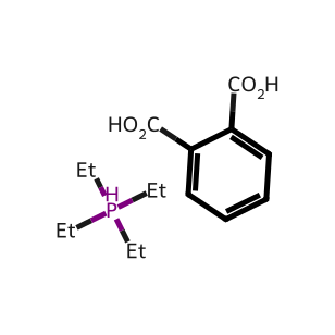 CC[PH](CC)(CC)CC.O=C(O)c1ccccc1C(=O)O